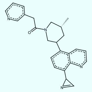 C[C@@H]1CC(c2ccc(C3C=N3)c3ncccc23)CN(C(=O)Cc2cccnc2)C1